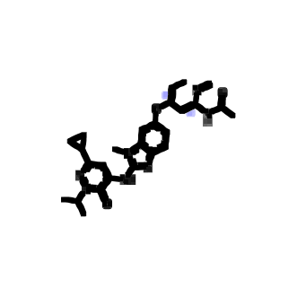 C=N/C(=C\C(=C/C)Oc1ccc2nc(Nc3cc(C4CC4)nn(C(C)C)c3=O)n(C)c2c1)NC(C)=O